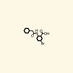 O=C(Cc1ccccc1)Nc1ccc(Br)cc1C(=O)O